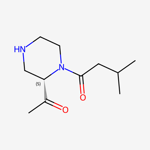 CC(=O)[C@@H]1CNCCN1C(=O)CC(C)C